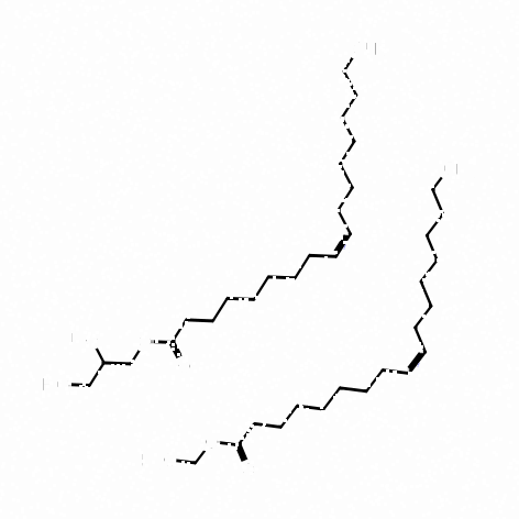 CCCCCCCC/C=C\CCCCCCCC(=O)OCC.CCCCCCCC/C=C\CCCCCCCC(=O)OCC(O)CO